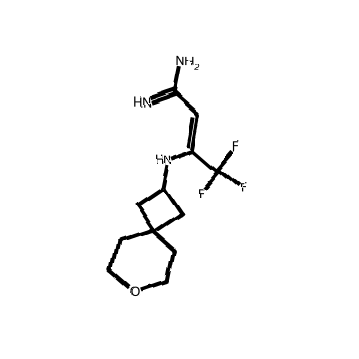 N=C(N)/C=C(\NC1CC2(CCOCC2)C1)C(F)(F)F